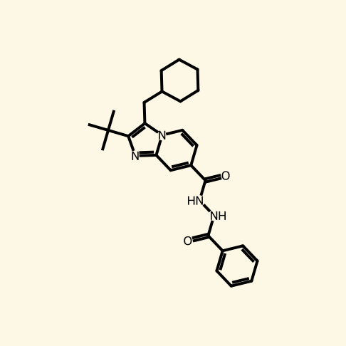 CC(C)(C)c1nc2cc(C(=O)NNC(=O)c3ccccc3)ccn2c1CC1CCCCC1